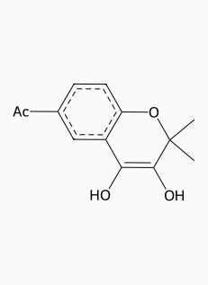 CC(=O)c1ccc2c(c1)C(O)=C(O)C(C)(C)O2